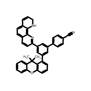 CC1(C)c2ccccc2Oc2cccc(-c3cc(-c4ccc(C#N)cc4)cc(-c4ccc5ccc6c(c5n4)NCC=C6)c3)c21